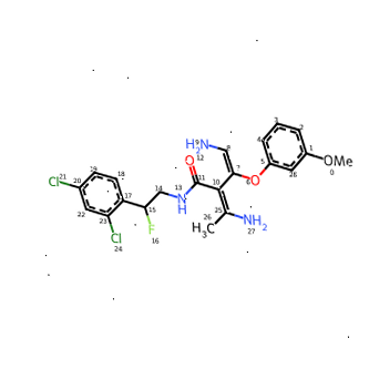 COc1cccc(OC(=C/N)/C(C(=O)NCC(F)c2ccc(Cl)cc2Cl)=C(/C)N)c1